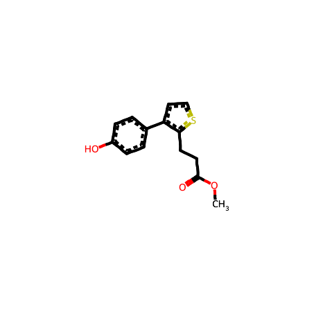 COC(=O)CCc1sccc1-c1ccc(O)cc1